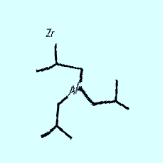 CC(C)[CH2][Al]([CH2]C(C)C)[CH2]C(C)C.[Zr]